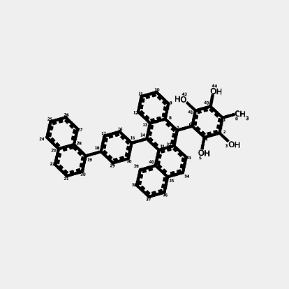 Cc1c(O)c(O)c(-c2c3ccccc3c(-c3ccc(-c4cccc5ccccc45)cc3)c3c2ccc2ccccc23)c(O)c1O